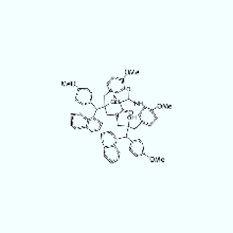 COc1ccc(CC(O)(CN(CC(O)(Cc2ccc(OC)cc2)C(c2ccc(OC)cc2)c2cccc3ccccc23)C(=O)C2(C(N)=O)CC2)C(c2ccc(OC)cc2)c2cccc3ccccc23)cc1